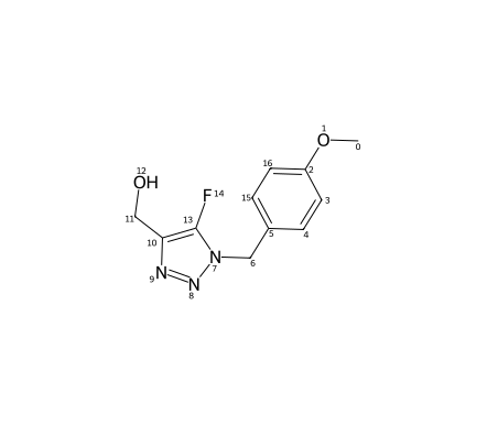 COc1ccc(Cn2nnc(CO)c2F)cc1